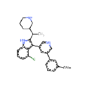 COc1cccc(-c2cncc(-c3c(C(C)C4CCCNC4)[nH]c4cccc(Cl)c34)c2)c1